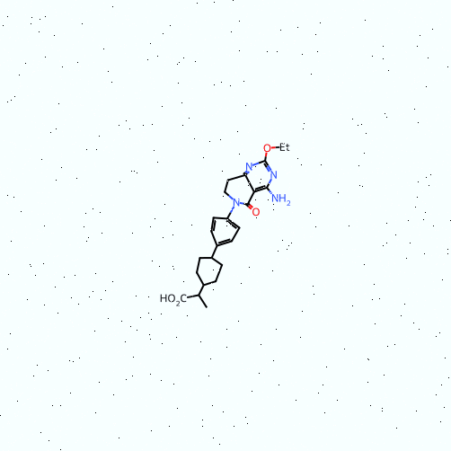 CCOc1nc(N)c2c(n1)CCN(c1ccc(C3CCC(C(C)C(=O)O)CC3)cc1)C2=O